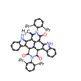 C=c1c2c3[nH]c4ccccc4c3c3c4c(c5c6ccccc6[nH]c5c(c(=O)n1-c1c(C(C)C)cccc1C(C)C)c42)C(=O)N(c1c(C(C)C)cccc1C(C)C)C3=O